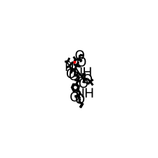 C=CCOC(=O)Nc1cccc(C(C)(C)[C@@H](C(=O)N[C@H](C(=O)N(C)[C@H](/C=C(\C)C(=O)OC)C(C)C)C(C)(C)C)N(C)C(=O)OC(C)(C)C)c1